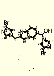 OC(c1ccc2nc(Cn3cnc(Br)c3)cn2c1)n1cnc(Br)c1